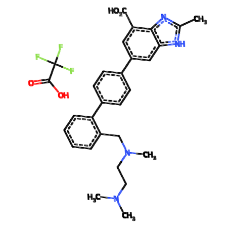 Cc1nc2c(C(=O)O)cc(-c3ccc(-c4ccccc4CN(C)CCN(C)C)cc3)cc2[nH]1.O=C(O)C(F)(F)F